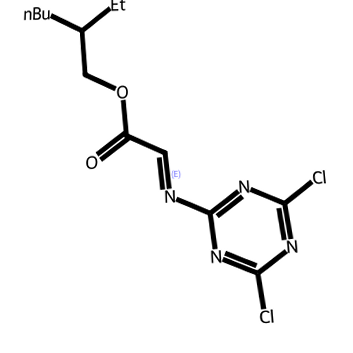 CCCCC(CC)COC(=O)/C=N/c1nc(Cl)nc(Cl)n1